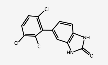 O=c1[nH]c2ccc(-c3c(Cl)ccc(Cl)c3Cl)cc2[nH]1